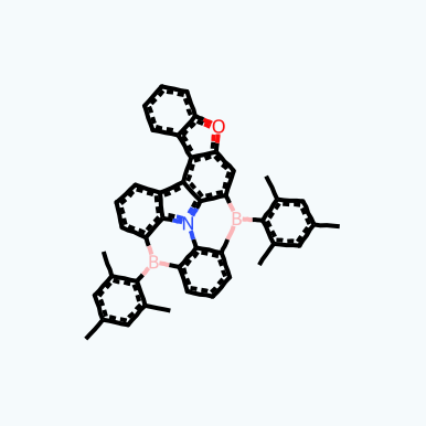 Cc1cc(C)c(B2c3cccc4c3-n3c5c2cccc5c2c5c(cc(c23)B4c2c(C)cc(C)cc2C)oc2ccccc25)c(C)c1